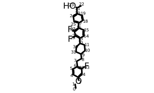 CCOc1ccc(CCC2CCC(c3ccc(-c4ccc(C(C)O)cc4)c(F)c3F)CC2)c(F)c1